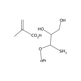 C=C(C)C(=O)O.CCCOC([SiH3])C(O)CO